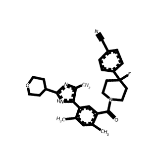 Cc1cc(C)c(-c2[nH]c(C3CCOCC3)nc2C)cc1C(=O)N1CCC(F)(c2ccc(C#N)cc2)CC1